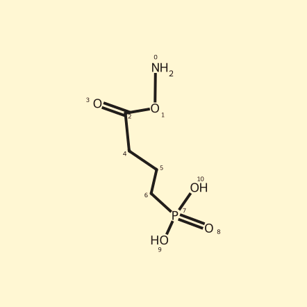 NOC(=O)CCCP(=O)(O)O